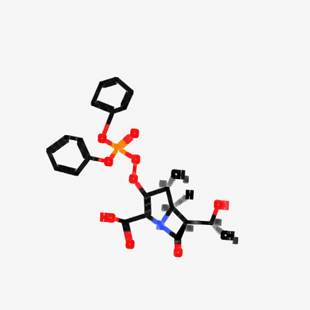 C[C@@H](O)[C@H]1C(=O)N2C(C(=O)O)=C(OOP(=O)(Oc3ccccc3)Oc3ccccc3)[C@H](C)[C@@H]12